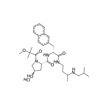 COC(C)(C)C(=O)N1C[C@H](O)C[C@H]1C(=O)N[C@H](Cc1ccc2ccccc2c1)C(=O)NCCC(C)NCC(C)C.Cl